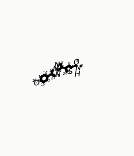 CNC(=O)c1cc(-c2cnn3cc(-c4ccc(OC)cc4)cnc23)cs1